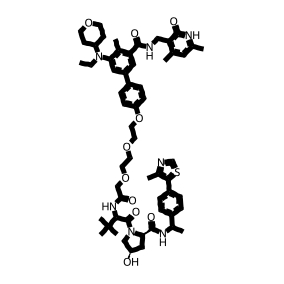 CCN(c1cc(-c2ccc(OCCOCCOCC(=O)NC(C(=O)N3C[C@@H](O)C[C@@H]3C(=O)NC(C)c3ccc(-c4scnc4C)cc3)C(C)(C)C)cc2)cc(C(=O)NCc2c(C)cc(C)[nH]c2=O)c1C)C1CCOCC1